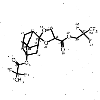 CC(F)(F)C(=O)OC12CC3CC(C1)C1(OCC(C(=O)OCC(F)(F)C(F)(F)F)O1)C(C3)C2